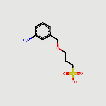 Nc1cccc(COCCCS(=O)(=O)O)c1